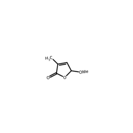 COC1C=C(C)C(=O)O1